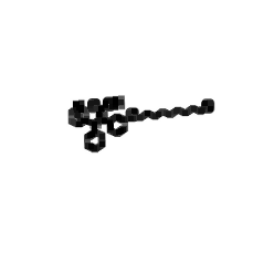 O=CCCCCCCCCOc1cccc(N(C(=O)O)[C@@H](c2ccccc2)C2CN3CCC2CC3)c1